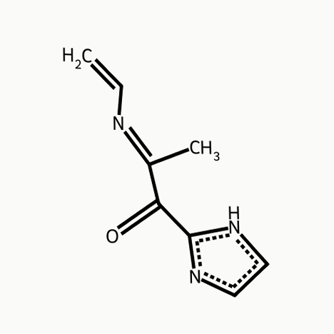 C=C/N=C(\C)C(=O)c1ncc[nH]1